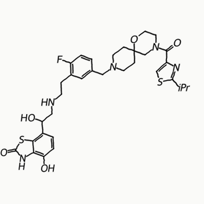 CC(C)c1nc(C(=O)N2CCOC3(CCN(Cc4ccc(F)c(CCNCC(O)c5ccc(O)c6[nH]c(=O)sc56)c4)CC3)C2)cs1